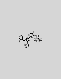 CS(=O)(=O)CC(=O)Nc1nc(-c2cc(-c3ccon3)n(Cc3ccccc3F)n2)ncc1F